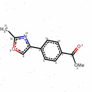 COC(=O)c1ccc(-c2coc(C)n2)cc1